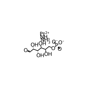 N.N.O=C[C@H](O)[C@@H](O)[C@@H](O)[C@H](O)COP(=O)([O-])[O-].[Pt+2]